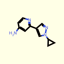 Nc1ccnc(-c2cnn(C3CC3)c2)c1